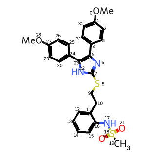 COc1ccc(-c2nc(SCCc3ccccc3NS(C)(=O)=O)[nH]c2-c2ccc(OC)cc2)cc1